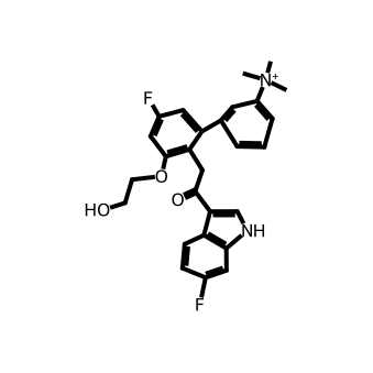 C[N+](C)(C)c1cccc(-c2cc(F)cc(OCCO)c2CC(=O)c2c[nH]c3cc(F)ccc23)c1